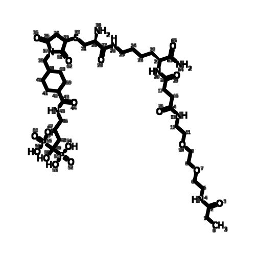 CCC(=O)NCCOCCOCCNC(=O)CCC(=O)N[C@@H](CCCCNC(=O)[C@H](N)CSC1CC(=O)N(CC2CCC(C(=O)NCCCC(O)(P(=O)(O)O)P(=O)(O)O)CC2)C1=O)C(N)=O